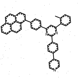 Cc1ccccc1-c1cc(-c2ccc(-c3ccc4ccc5cccc6ccc3c4c56)cc2)nc(-c2ccc(-c3ccncc3)cc2)n1